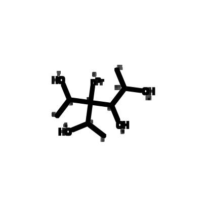 CCCC(C(C)O)(C(C)O)C(O)C(C)O